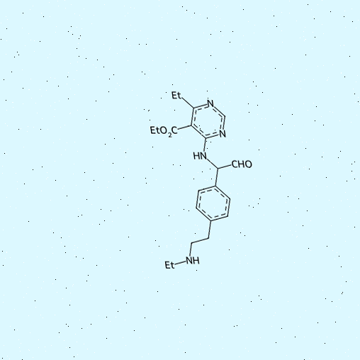 CCNCCc1ccc(C(C=O)Nc2ncnc(CC)c2C(=O)OCC)cc1